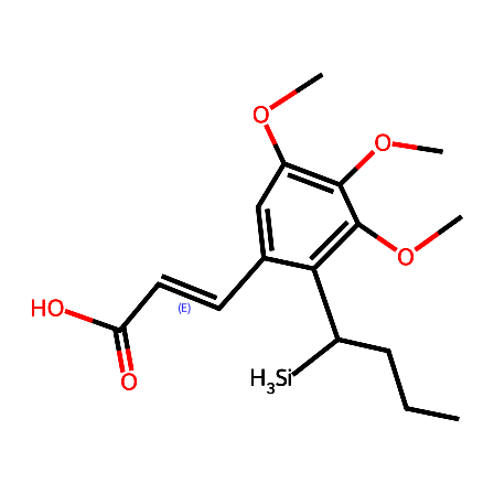 CCCC([SiH3])c1c(/C=C/C(=O)O)cc(OC)c(OC)c1OC